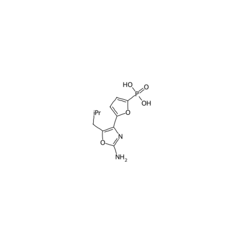 CC(C)Cc1oc(N)nc1-c1ccc(P(=O)(O)O)o1